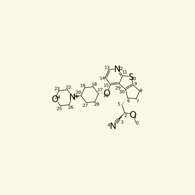 CO[C@@H](C#N)C[C@H]1CCc2sc3nccc(O[C@H]4CC[C@H](N5CCOCC5)CC4)c3c21